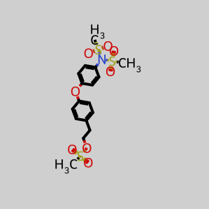 CS(=O)(=O)OCCc1ccc(Oc2ccc(N(S(C)(=O)=O)S(C)(=O)=O)cc2)cc1